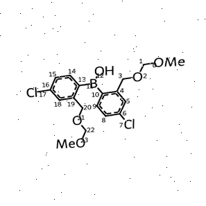 COCOCc1cc(Cl)ccc1B(O)c1ccc(Cl)cc1COCOC